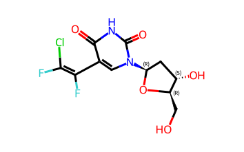 O=c1[nH]c(=O)n([C@H]2C[C@H](O)[C@@H](CO)O2)cc1C(F)=C(F)Cl